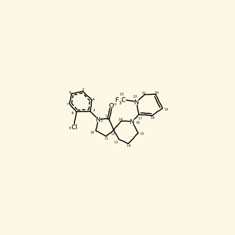 O=C1N(c2ccccc2Cl)CCC12CCCN(C1=CC=CCN1C(F)(F)F)C2